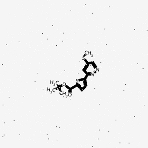 CSc1cnnc(-c2ccc(C(=O)OC(C)(C)C)s2)c1